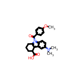 COc1ccc(C(=O)n2c3c(c4cc(N(C)C)ccc42)C(C(=O)O)CCC3)cc1